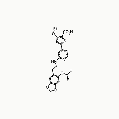 CCOc1cc(-c2cc(NCCc3cc4c(cc3OC(F)F)OCO4)ncn2)sc1C(=O)O